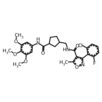 COc1cc(NC(=O)C2CCC(CNC(=O)c3c(-c4c(F)cccc4Cl)noc3C)C2)cc(OC)c1OC